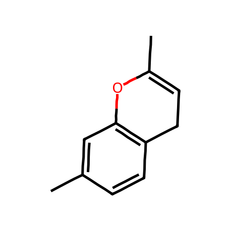 CC1=CCc2ccc(C)cc2O1